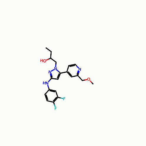 CCC(O)Cn1nc(Nc2ccc(F)c(F)c2)cc1-c1ccnc(COC)c1